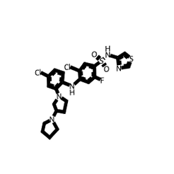 O=S(=O)(Nc1cscn1)c1cc(Cl)c(Nc2ccc(Cl)cc2N2CCC(N3CCCC3)C2)cc1F